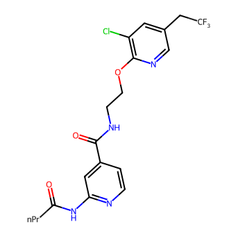 CCCC(=O)Nc1cc(C(=O)NCCOc2ncc(CC(F)(F)F)cc2Cl)ccn1